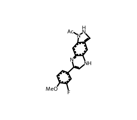 COc1ccc(C2=CNc3cc4c(cc3=N2)N(C(C)=O)NC=4)cc1F